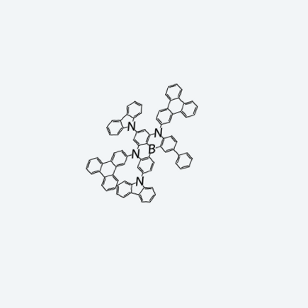 c1ccc(-c2ccc3c(c2)B2c4ccc(-n5c6ccccc6c6ccccc65)cc4N(c4ccc5c6ccccc6c6ccccc6c5c4)c4cc(-n5c6ccccc6c6ccccc65)cc(c42)N3c2ccc3c4ccccc4c4ccccc4c3c2)cc1